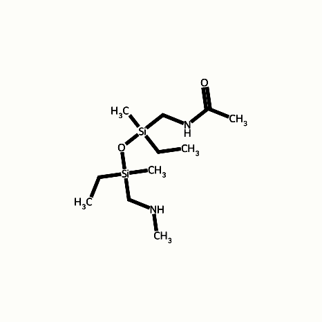 CC[Si](C)(CNC)O[Si](C)(CC)CNC(C)=O